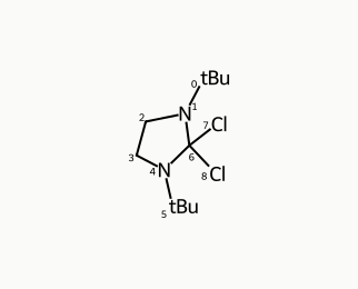 CC(C)(C)N1CCN(C(C)(C)C)C1(Cl)Cl